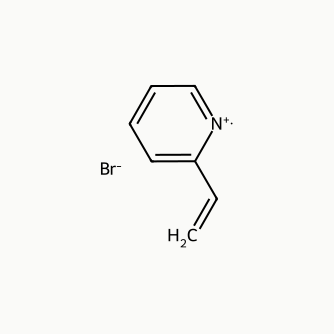 C=CC1=CC=CC=[N+]1.[Br-]